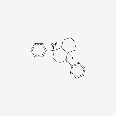 O[C@]1(c2ccccc2)CCN(c2ccccn2)[C@@H]2CCCC[C@@H]21